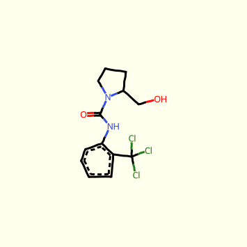 O=C(Nc1ccccc1C(Cl)(Cl)Cl)N1CCCC1CO